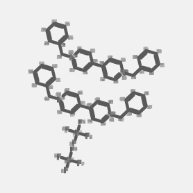 F[B-](F)(F)F.F[B-](F)(F)F.c1ccc(C[n+]2ccc(-c3cc[n+](Cc4ccccc4)cc3)cc2)cc1.c1ccc(C[n+]2ccc(-c3cc[n+](Cc4ccccc4)cc3)cc2)cc1